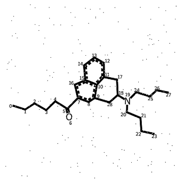 CCCCCC(=O)c1cc2c3c(cccc3c1)CC(N(CCCC)CCCC)C2